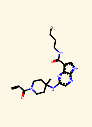 C=CC(=O)N1CCC(C)(Nc2cnc3[nH]cc(C(=O)NCCCC(F)(F)F)c3n2)CC1